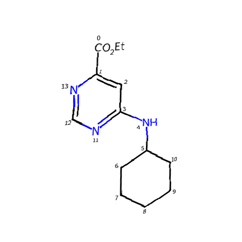 CCOC(=O)c1cc(NC2CCCCC2)ncn1